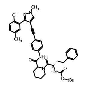 Cc1ccc(O)c(-c2nn(C)cc2C#Cc2ccc(NC(=O)C3CCCCN3C(=O)[C@H](CCc3ccccc3)NC(=O)OC(C)(C)C)cc2)c1